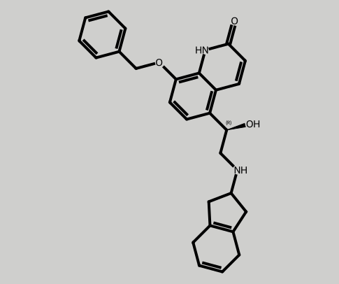 O=c1ccc2c([C@@H](O)CNC3CC4=C(CC=CC4)C3)ccc(OCc3ccccc3)c2[nH]1